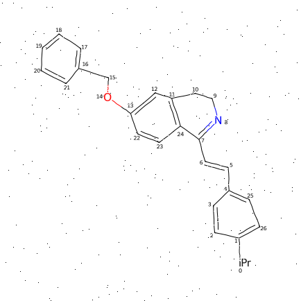 CC(C)c1ccc(/C=C/C2=NCCc3cc(OCc4ccccc4)ccc32)cc1